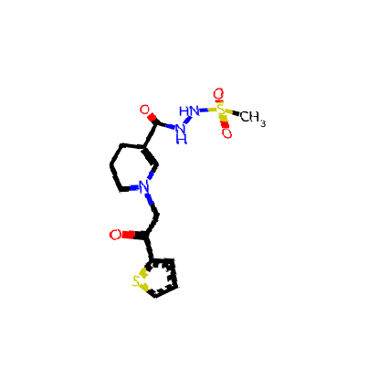 CS(=O)(=O)NNC(=O)C1=CN(CC(=O)c2cccs2)CCC1